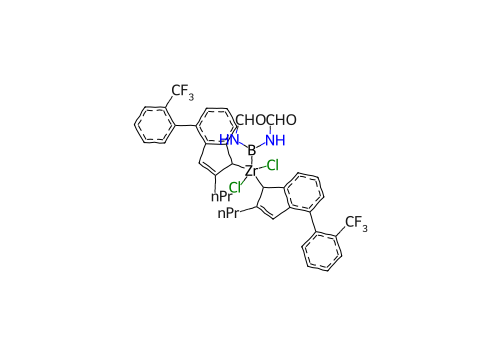 CCCC1=Cc2c(-c3ccccc3C(F)(F)F)cccc2[CH]1[Zr]([Cl])([Cl])([B](NC=O)NC=O)[CH]1C(CCC)=Cc2c(-c3ccccc3C(F)(F)F)cccc21